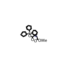 COC(=O)/C=C\C(=O)O[Si](c1ccccc1)(c1ccccc1)c1ccccc1